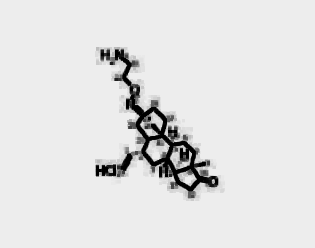 C=C[C@H]1C[C@@H]2[C@H](CC[C@]3(C)C(=O)CC[C@@H]23)[C@@]2(C)CCC(=NOCCN)CC12.Cl